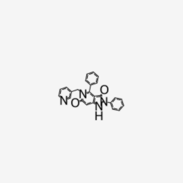 O=c1c2c(-c3ccccc3)n(Cc3cccnc3)c(=O)cc2[nH]n1-c1ccccc1